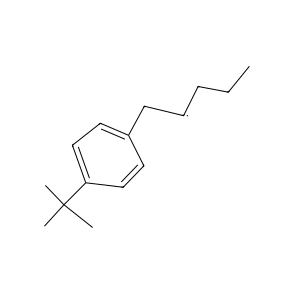 CCC[CH]Cc1ccc(C(C)(C)C)cc1